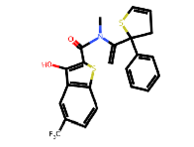 C=C(N(C)C(=O)c1sc2ccc(C(F)(F)F)cc2c1O)C1(c2ccccc2)CC=CS1